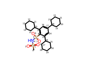 CS(=O)(=O)NS(=O)(=O)c1c(C2CCCCC2)cc(C2CCCCC2)cc1C1CCCCC1